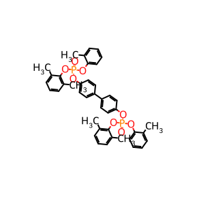 Cc1ccccc1OP(=O)(Oc1ccc(-c2ccc(OP(=O)(Oc3ccccc3C)Oc3c(C)cccc3C)cc2)cc1)Oc1c(C)cccc1C